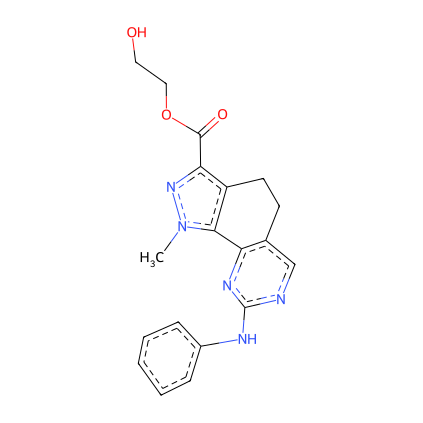 Cn1nc(C(=O)OCCO)c2c1-c1nc(Nc3ccccc3)ncc1CC2